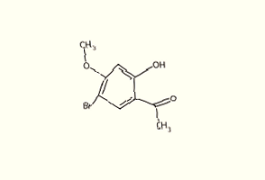 COc1cc(O)c(C(C)=O)cc1Br